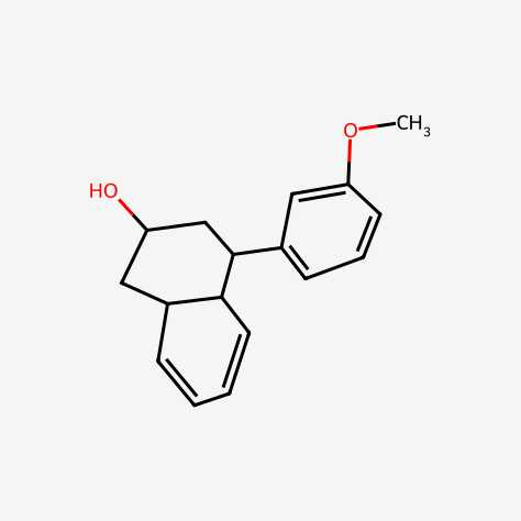 COc1cccc(C2CC(O)CC3C=CC=CC32)c1